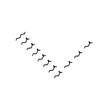 CCCC(=O)O.CCCC(=O)O.CCCC(=O)O.CCCC(=O)O.CCCC(=O)O.CCCC(=O)O.CCCC(=O)O.CCCC(=O)O.CCCC(=O)O.CCCC(=O)O.CCCCCC